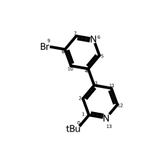 CC(C)(C)c1cc(-c2cncc(Br)c2)ccn1